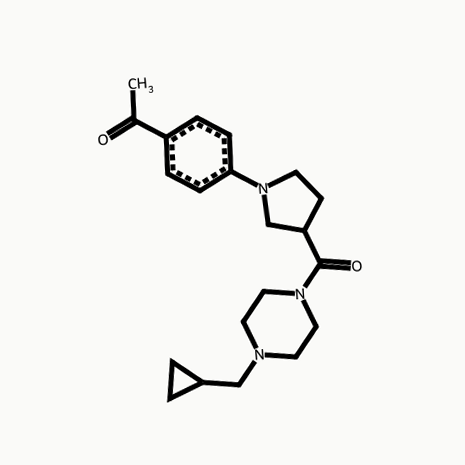 CC(=O)c1ccc(N2CCC(C(=O)N3CCN(CC4CC4)CC3)C2)cc1